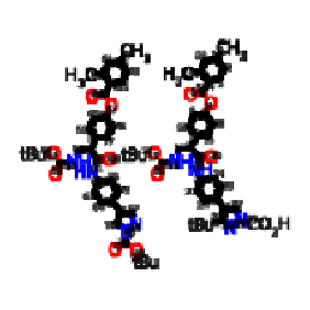 Cc1ccc(C(=O)Oc2ccc(C(CNC(=O)OC(C)(C)C)C(=O)Nc3ccc(-c4cn(C(=O)O)nc4C(C)(C)C)cc3)cc2)c(C)c1.Cc1ccc(C(=O)Oc2ccc(C(CNC(=O)OC(C)(C)C)C(=O)Nc3ccc(-c4cnn(C(=O)OC(C)(C)C)c4)cc3)cc2)c(C)c1